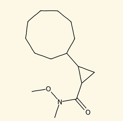 CON(C)C(=O)C1CC1C1CCCCCCCC1